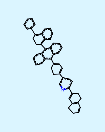 C1=CC2=C(C=C(c3ccc(C4=CC=C(c5c6ccccc6c(C6=c7ccccc7=C(c7ccccc7)CC6)c6ccccc56)CC4)cn3)CC2)CC1